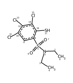 CCN(CC)S(=O)(=O)c1cc(Cl)c(Cl)c(Cl)c1S